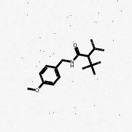 COc1ccc(CNC(=O)C(C(C)C)C(C)(C)C)cc1